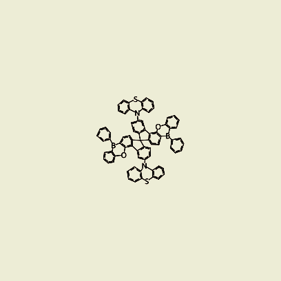 c1ccc(B2c3ccccc3Oc3c2ccc2c3-c3cc(N4c5ccccc5Sc5ccccc54)ccc3C23c2ccc(N4c5ccccc5Sc5ccccc54)cc2-c2c3ccc3c2Oc2ccccc2B3c2ccccc2)cc1